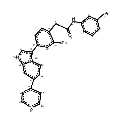 CC(C)c1ccnc(NC(=O)Cc2ccc(-c3cnc4cc(-c5ccncc5)ccn34)cc2F)c1